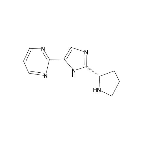 c1cnc(-c2cnc([C@@H]3CCCN3)[nH]2)nc1